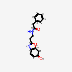 O=C1C=Cc2nc(CCNC(=O)Cc3ccccc3)oc2C1